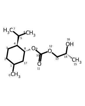 CC1CC[C@@H](C(C)C)[C@H](OC(=O)OC[C@@H](C)O)C1